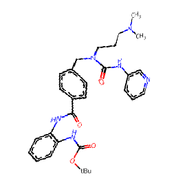 CN(C)CCCN(Cc1ccc(C(=O)Nc2ccccc2NC(=O)OC(C)(C)C)cc1)C(=O)Nc1cccnc1